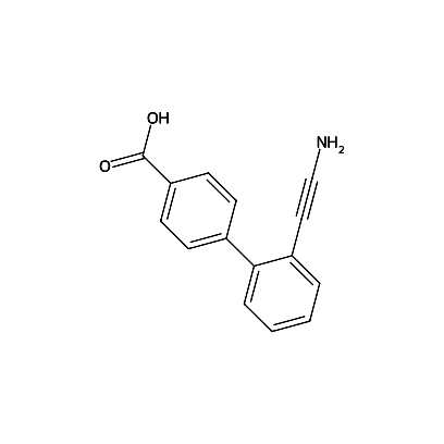 NC#Cc1ccccc1-c1ccc(C(=O)O)cc1